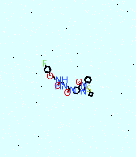 O=C(CNCC(=O)N1CCc2nc(SC3CCC3)n(-c3ccccc3)c(=O)c2C1)NCCOc1ccc(F)cc1